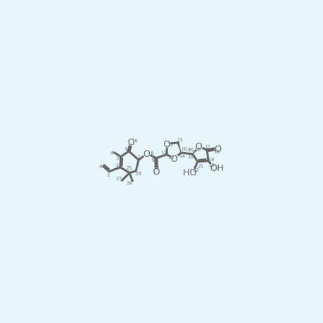 C=CC1=C(C)C(=O)C(OC(=O)C2OC[C@@H]([C@H]3OC(=O)C(O)=C3O)O2)CC1(C)C